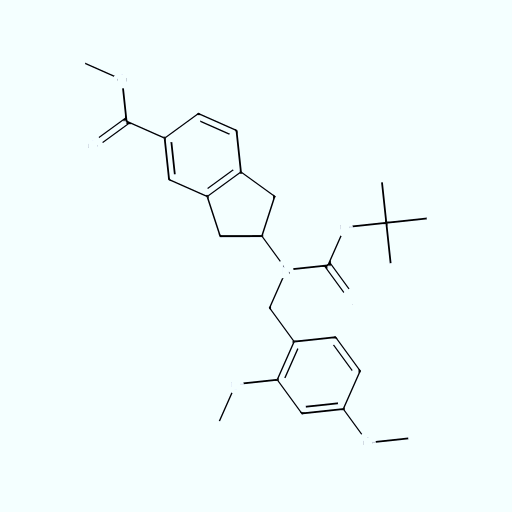 COC(=O)c1ccc2c(c1)CC(N(Cc1ccc(OC)cc1OC)C(=O)OC(C)(C)C)C2